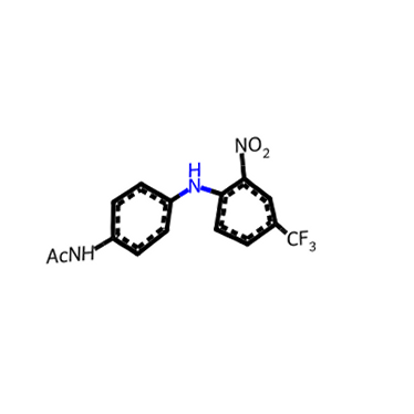 CC(=O)Nc1ccc(Nc2ccc(C(F)(F)F)cc2[N+](=O)[O-])cc1